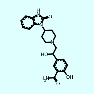 NC(=O)c1cc(C(O)CN2CCC(n3c(=O)[nH]c4ccccc43)CC2)ccc1O